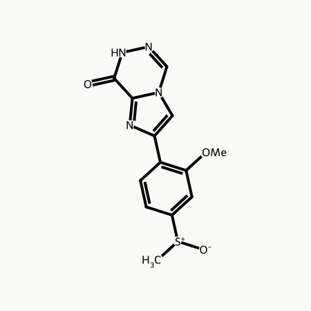 COc1cc([S+](C)[O-])ccc1-c1cn2cn[nH]c(=O)c2n1